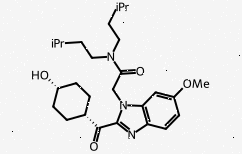 COc1ccc2nc(C(=O)[C@H]3CC[C@@H](O)CC3)n(CC(=O)N(CCC(C)C)CCC(C)C)c2c1